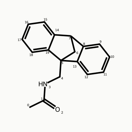 CC(=O)NCC12CC(c3ccccc31)c1ccccc12